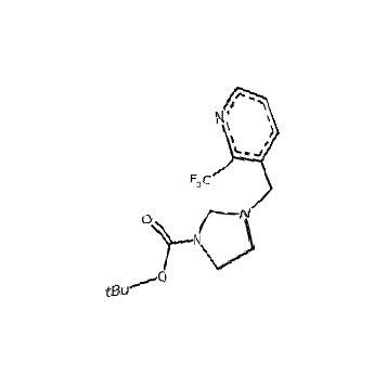 CC(C)(C)OC(=O)N1CCN(Cc2cccnc2C(F)(F)F)C1